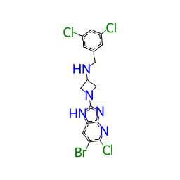 Clc1cc(Cl)cc(CNC2CN(c3nc4nc(Cl)c(Br)cc4[nH]3)C2)c1